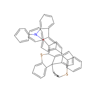 c1ccc(-c2ccc(-c3ccccc3)c3c2Sc2ccccc2C32c3ccccc3Sc3cccc(-c4ccc5c(c4)c4ccccc4n5-c4ccccc4)c32)cc1